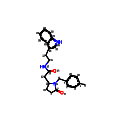 Cc1ccc(CN2C(=O)CCC2CC(=O)NCCc2c[nH]c3ccccc23)cc1